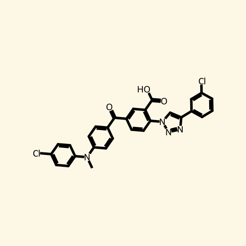 CN(c1ccc(Cl)cc1)c1ccc(C(=O)c2ccc(-n3cc(-c4cccc(Cl)c4)nn3)c(C(=O)O)c2)cc1